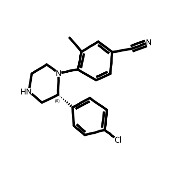 Cc1cc(C#N)ccc1N1CCNC[C@H]1c1ccc(Cl)cc1